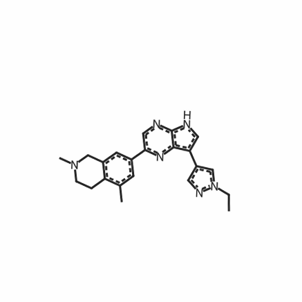 CCn1cc(-c2c[nH]c3ncc(-c4cc(C)c5c(c4)CN(C)CC5)nc23)cn1